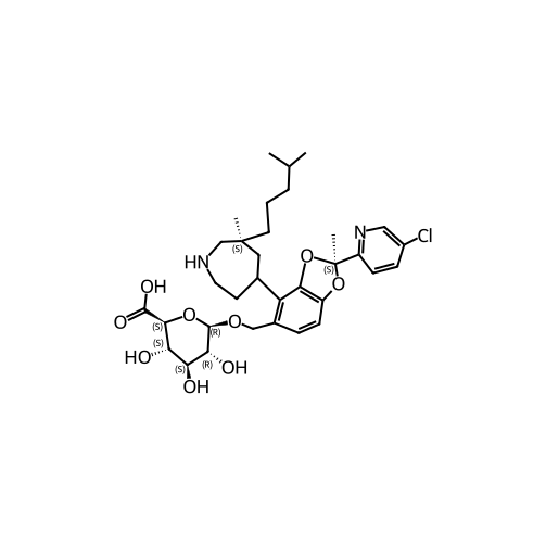 CC(C)CCC[C@]1(C)CNCCC(c2c(CO[C@@H]3O[C@H](C(=O)O)[C@@H](O)[C@H](O)[C@H]3O)ccc3c2O[C@@](C)(c2ccc(Cl)cn2)O3)C1